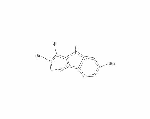 CC(C)(C)c1ccc2c(c1)[nH]c1c(Br)c(C(C)(C)C)ccc12